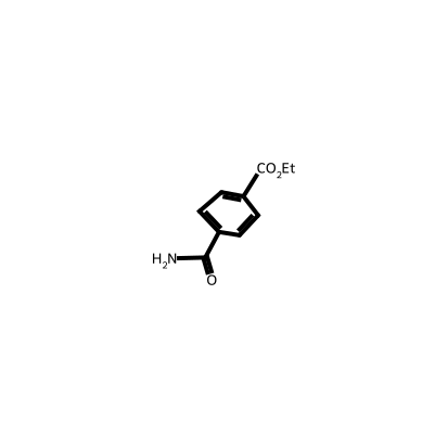 CCOC(=O)c1ccc(C(N)=O)cc1